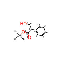 CC1(OC(=O)C(CO)c2ccccc2)CC1